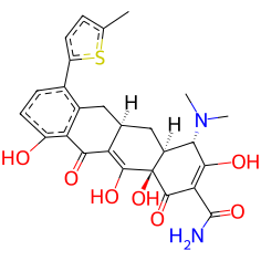 Cc1ccc(-c2ccc(O)c3c2C[C@H]2C[C@H]4[C@H](N(C)C)C(O)=C(C(N)=O)C(=O)[C@]4(O)C(O)=C2C3=O)s1